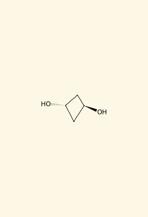 O[C@H]1C[C@H](O)C1